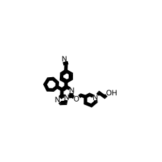 N#Cc1ccc(-c2nc(OCC3CCCN(CCO)C3)n3ccnc3c2C2CCCCCC2)cc1